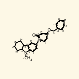 CN1c2ccc(-n3ccc(OCc4ccccc4)cc3=O)cc2C2CCCCC21